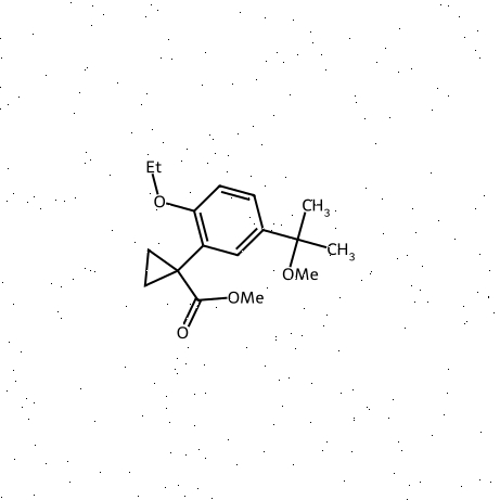 CCOc1ccc(C(C)(C)OC)cc1C1(C(=O)OC)CC1